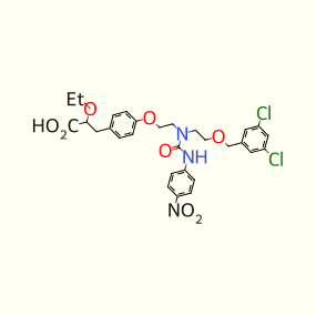 CCOC(Cc1ccc(OCCN(CCOCc2cc(Cl)cc(Cl)c2)C(=O)Nc2ccc([N+](=O)[O-])cc2)cc1)C(=O)O